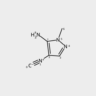 [C-]#[N+]c1cnn(C)c1N